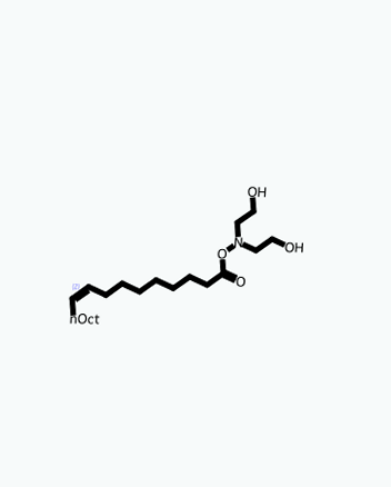 CCCCCCCC/C=C\CCCCCCCC(=O)ON(CCO)CCO